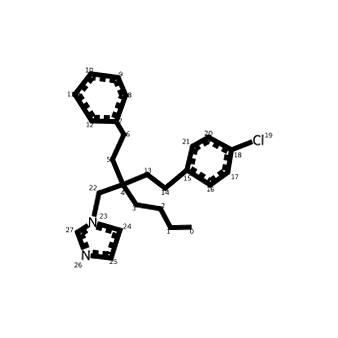 CCCCC(CCc1ccccc1)(CCc1ccc(Cl)cc1)Cn1ccnc1